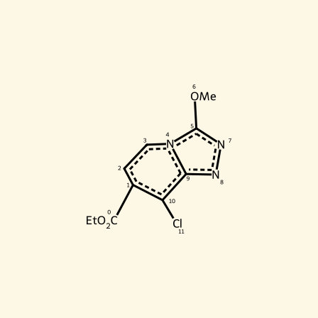 CCOC(=O)c1ccn2c(OC)nnc2c1Cl